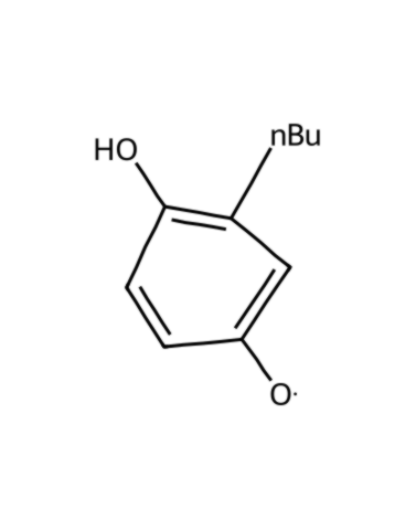 CCCCc1cc([O])ccc1O